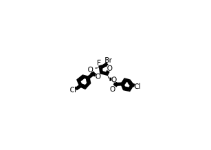 C[C@@]1(F)[C@H](OC(=O)c2ccc(Cl)cc2)[C@@H](COC(=O)c2ccc(Cl)cc2)O[C@@H]1Br